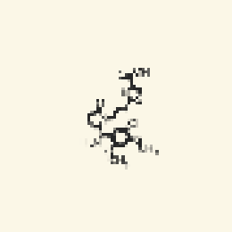 COc1cc(OC)c(C(N)[C@H]2CCC(=O)N2CCSc2nc(C(=O)O)cs2)cc1Cl